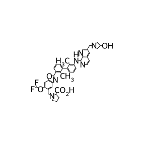 Cc1c(Nc2nccc3cc(CN4CC(O)C4)cnc23)cccc1-c1cccc(-c2nc3cc(CN4CCCC4C(=O)O)c(OC(F)F)cc3o2)c1C